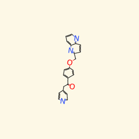 O=C(Cc1ccncc1)c1ccc(OCc2ccc3ncccc3n2)cc1